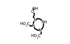 O=C(O)CN1CCNCCN(CCOO)CN(CC(=O)O)CC1